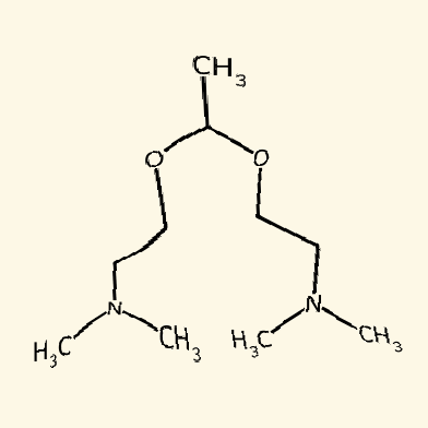 CC(OCCN(C)C)OCCN(C)C